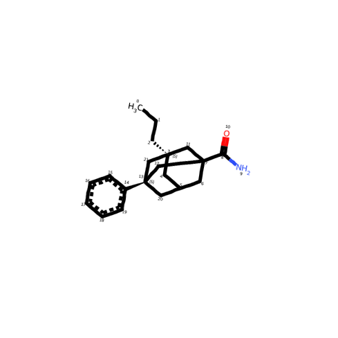 CCC[C@@]12CC3CC(C(N)=O)(C1)C[C@](c1ccccc1)(C3)C2